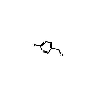 C[CH]c1cnc(Cl)nc1